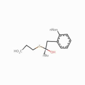 CCCCCCCCCc1ccccc1C[C@@](O)(CCCC)SCCC(=O)O